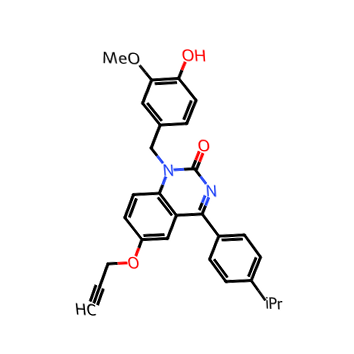 C#CCOc1ccc2c(c1)c(-c1ccc(C(C)C)cc1)nc(=O)n2Cc1ccc(O)c(OC)c1